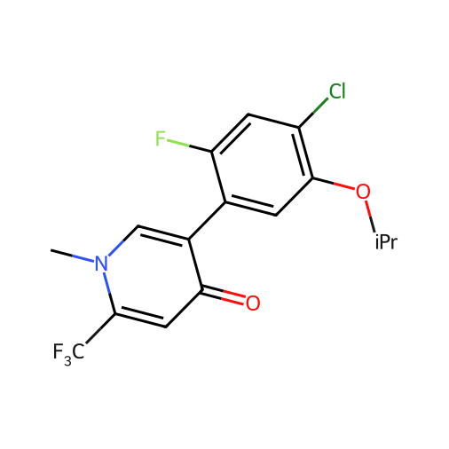 CC(C)Oc1cc(-c2cn(C)c(C(F)(F)F)cc2=O)c(F)cc1Cl